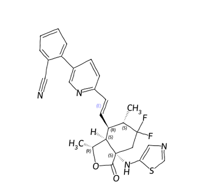 C[C@H]1OC(=O)[C@]2(Nc3cncs3)CC(F)(F)[C@@H](C)[C@H](/C=C/c3ccc(-c4ccccc4C#N)cn3)[C@H]12